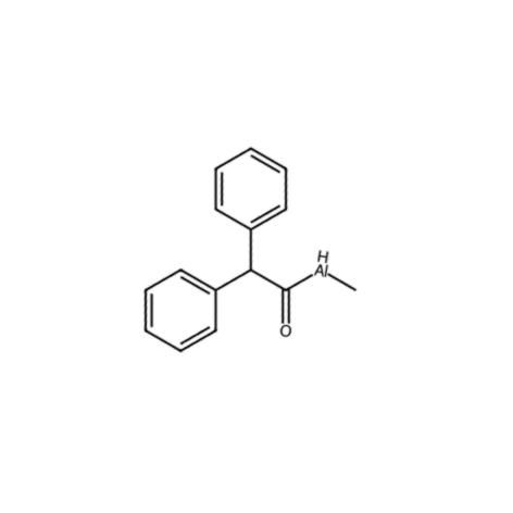 [CH3][AlH][C](=O)C(c1ccccc1)c1ccccc1